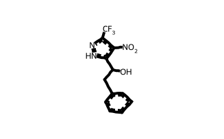 O=[N+]([O-])c1c(C(F)(F)F)n[nH]c1C(O)Cc1ccccc1